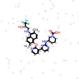 Cc1ccc2c(Oc3ncccc3-c3ccnc(NC4CCCN(C(=O)O)C4)n3)c(C)ccc2c1NC[C@H](O)C(F)(F)F